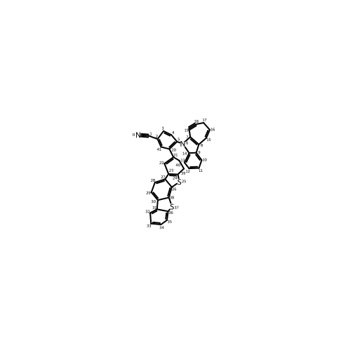 N#Cc1ccc(-n2c3c(c4ccccc42)C=CCC#C3)c(C2=Cc3c(sc4c3ccc3c5ccccc5sc34)CC2)c1